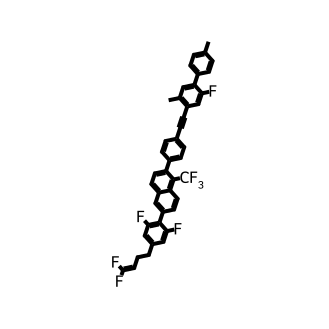 Cc1ccc(-c2cc(C)c(C#Cc3ccc(-c4ccc5cc(-c6c(F)cc(CCC=C(F)F)cc6F)ccc5c4C(F)(F)F)cc3)cc2F)cc1